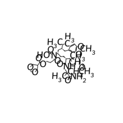 COCCCOc1cc(C[C@@H](C[C@H]2C(C[C@H](C(=O)NCC(C)(C)C(N)=O)C(C)C)OC(CCOC(=O)C3COCOC3)N2C(=O)O)C(C)C)ccc1OC